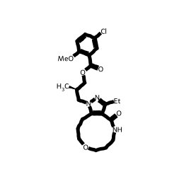 CCc1nn(C[C@@H](C)COC(=O)c2cc(Cl)ccc2OC)c2c1C(=O)NCCCOCCC2